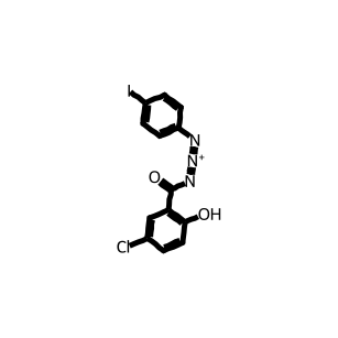 O=C(N=[N+]=Nc1ccc(I)cc1)c1cc(Cl)ccc1O